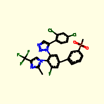 Cc1nc(C(F)(F)F)cn1-c1c(F)cc(-c2cccc(S(C)(=O)=O)c2)cc1-n1nncc1-c1ccc(Cl)cc1Cl